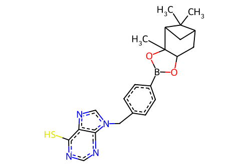 CC1(C)C2CC3OB(c4ccc(Cn5cnc6c(S)ncnc65)cc4)OC3(C)C1C2